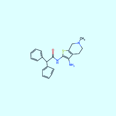 CN1CCc2c(sc(NC(=O)C(c3ccccc3)c3ccccc3)c2N)C1